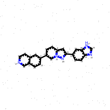 c1cc2cc(-c3ccc4cc(-c5ccc6nc[nH]c6c5)nn4c3)ccc2cn1